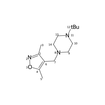 Cc1noc(C)c1CN1CCN(C(C)(C)C)CC1